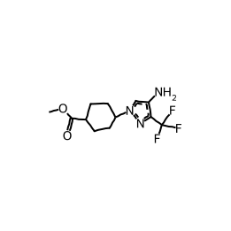 COC(=O)C1CCC(n2cc(N)c(C(F)(F)F)n2)CC1